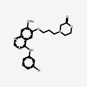 COc1cc2ncnc(Nc3cccc(Br)c3)c2cc1OCCCN1CCOC(=O)C1